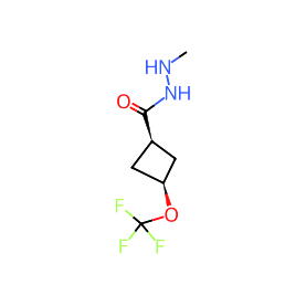 CNNC(=O)[C@H]1C[C@@H](OC(F)(F)F)C1